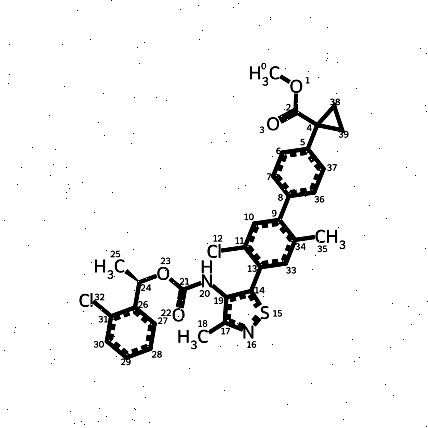 COC(=O)C1(c2ccc(-c3cc(Cl)c(-c4snc(C)c4NC(=O)O[C@H](C)c4ccccc4Cl)cc3C)cc2)CC1